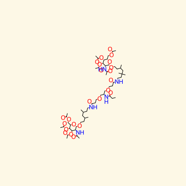 CCC(=O)NC(COCCC(=O)NCCC(C)CC(C)CCOC1OC(COC(C)=O)C(OC(C)=O)C(OC(C)=O)C1NC(C)=O)COCCC(=O)NCCC(C)(C)CC(C)CCOC1OC(COC(C)=O)C(OC(C)=O)C(OC(C)=O)C1NC(C)=O